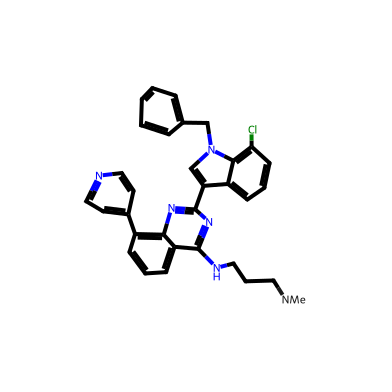 CNCCCNc1nc(-c2cn(Cc3ccccc3)c3c(Cl)cccc23)nc2c(-c3ccncc3)cccc12